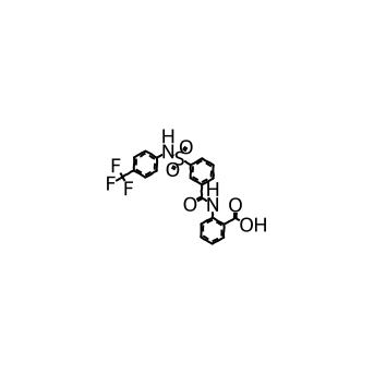 O=C(Nc1ccccc1C(=O)O)c1cccc(S(=O)(=O)Nc2ccc(C(F)(F)F)cc2)c1